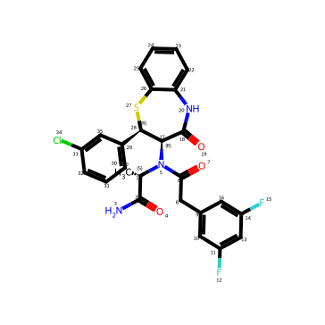 C[C@@H](C(N)=O)N(C(=O)Cc1cc(F)cc(F)c1)[C@@H]1C(=O)Nc2ccccc2S[C@@H]1c1cccc(Cl)c1